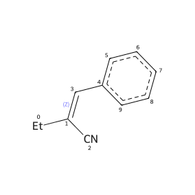 CC/C(C#N)=C/c1ccccc1